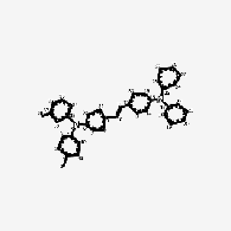 Cc1ccc(N(c2ccc(/C=C/c3ccc(N(c4ccccc4)c4ccccc4)cc3)cc2)c2cccc(C)c2)cc1